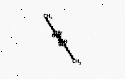 CCCCCCCCCCCCOC(=O)c1cc(-c2cc(C(=O)OCCCCCCCCCCCC)c(Br)s2)sc1Br